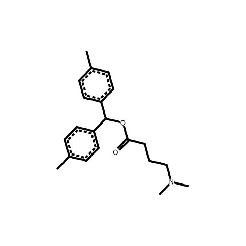 Cc1ccc(C(OC(=O)CCCN(C)C)c2ccc(C)cc2)cc1